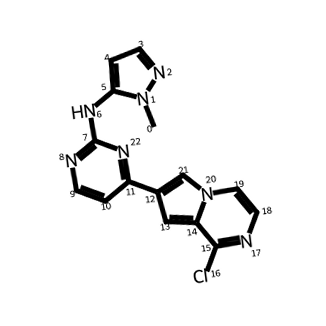 Cn1nccc1Nc1nccc(-c2cc3c(Cl)nccn3c2)n1